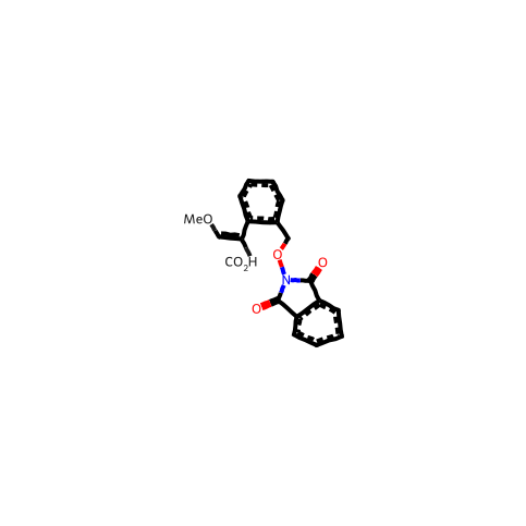 CO/C=C(/C(=O)O)c1ccccc1CON1C(=O)c2ccccc2C1=O